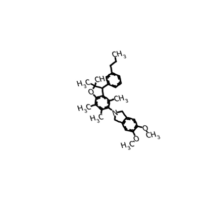 CCCc1cccc(C2c3c(C)c(N4Cc5cc(OC)c(OC)cc5C4)c(C)c(C)c3OC2(C)C)c1